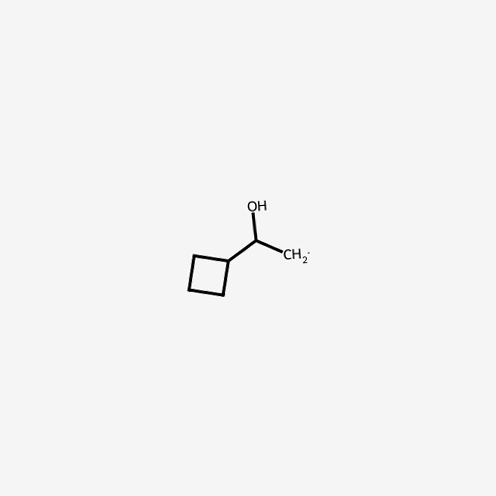 [CH2]C(O)C1CCC1